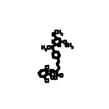 COc1cc(OC)nc(N(C)c2ccc(C=CCC(NC(=O)c3c(Cl)cccc3Cl)C(=O)O)cc2)n1